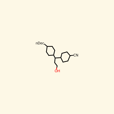 CCCCCCCCCCC1CCC(C(CCO)C2CCC(C#N)CC2)CC1